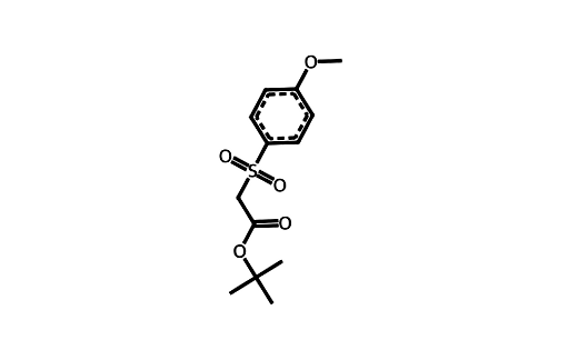 COc1ccc(S(=O)(=O)CC(=O)OC(C)(C)C)cc1